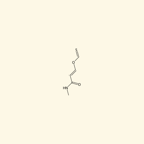 CNC(=O)/[C]=C/OC=S